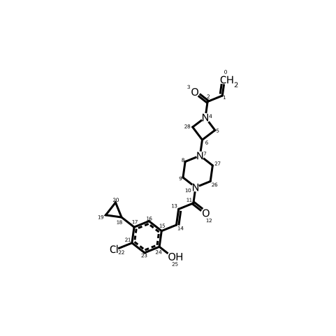 C=CC(=O)N1CC(N2CCN(C(=O)/C=C/c3cc(C4CC4)c(Cl)cc3O)CC2)C1